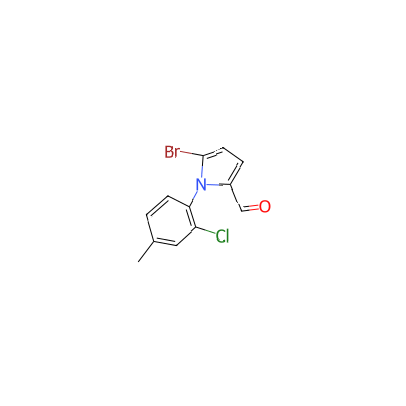 Cc1ccc(-n2c(Br)ccc2C=O)c(Cl)c1